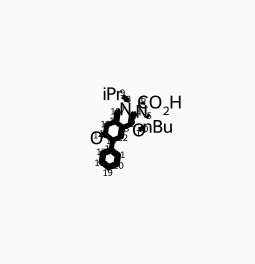 CCCCOC1=C(N(C)C(=O)O)N(CC(C)C)C=C2CC(=O)C(c3ccccc3)C=C21